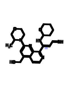 CC1COCCN1c1cc(CO)c2ccnc(/C(=C/C=N)NC3CCCCO3)c2n1